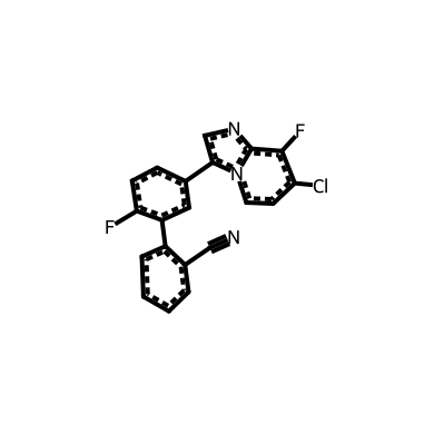 N#Cc1ccccc1-c1cc(-c2cnc3c(F)c(Cl)ccn23)ccc1F